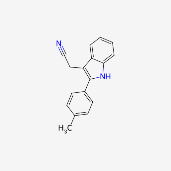 Cc1ccc(-c2[nH]c3ccccc3c2CC#N)cc1